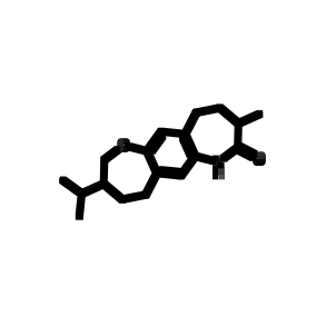 CC1CCc2cc3c(cc2NC1=O)CCC(C(C)C)CO3